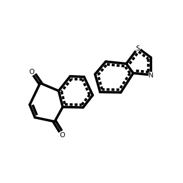 O=C1C=CC(=O)c2ccccc21.c1ccc2scnc2c1